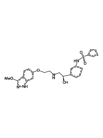 COc1n[nH]c2cc(OCCNC[C@H](O)c3cccc(NS(=O)(=O)c4ccsc4)c3)ccc12